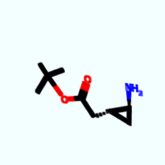 CC(C)(C)OC(=O)C[C@H]1C[C@@H]1N